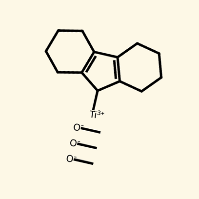 C[O-].C[O-].C[O-].[Ti+3][CH]1C2=C(CCCC2)C2=C1CCCC2